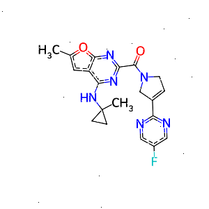 Cc1cc2c(NC3(C)CC3)nc(C(=O)N3CC=C(c4ncc(F)cn4)C3)nc2o1